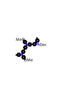 CCCCCCCCCCn1c2ccc(C)cc2c2cc(-c3ccc(N(c4ccc(OC)cc4)c4ccc(-c5ccc(N(c6ccc(C)cc6)c6ccc(OC)cc6)cc5)cc4)cc3)ccc21